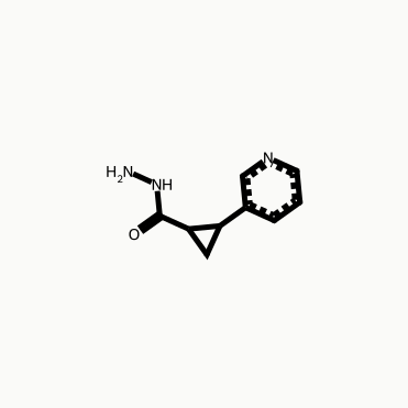 NNC(=O)C1CC1c1cccnc1